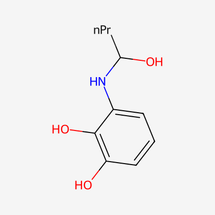 CCCC(O)Nc1cccc(O)c1O